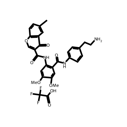 COc1cc(NC(=O)c2coc3ccc(C)cc3c2=O)c(C(=O)Nc2ccc(CCN)cc2)cc1OC.O=C(O)C(F)(F)F